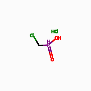 Cl.O=[PH](O)CCl